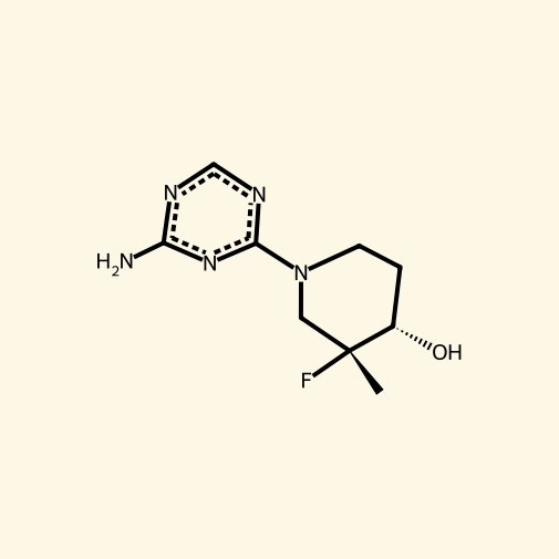 C[C@@]1(F)CN(c2ncnc(N)n2)CC[C@@H]1O